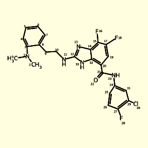 CN(C)c1ccccc1CCNc1nc2c(F)c(F)cc(C(=O)Nc3ccc(F)c(Cl)c3)c2[nH]1